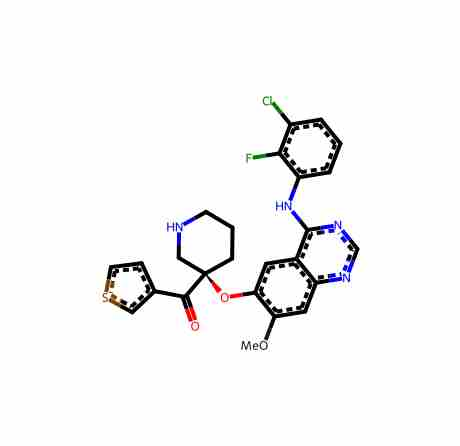 COc1cc2ncnc(Nc3cccc(Cl)c3F)c2cc1O[C@]1(C(=O)c2ccsc2)CCCNC1